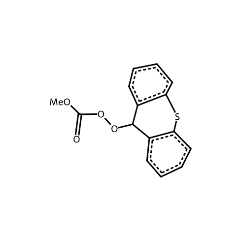 COC(=O)OOC1c2ccccc2Sc2ccccc21